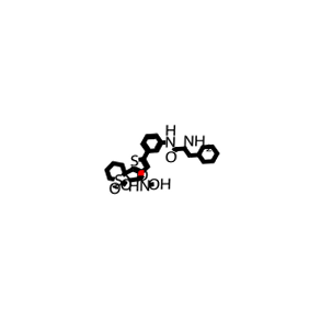 N[C@@H](CC1CCCCC1)C(=O)Nc1cccc(-c2ccc([C@@]3(CC(=O)NO)CCCCS3(=O)=O)s2)c1